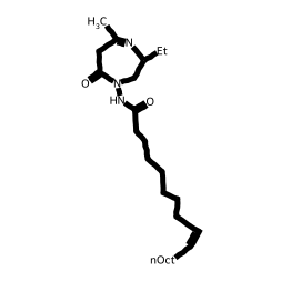 CCCCCCCC/C=C\CCCCCCCC(=O)NN1CC(CC)N=C(C)CC1=O